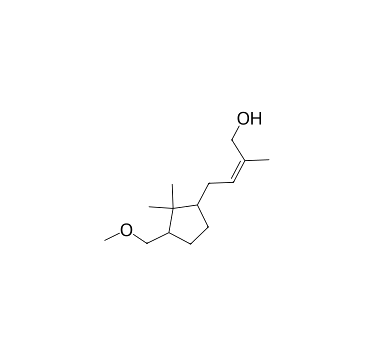 COCC1CCC(CC=C(C)CO)C1(C)C